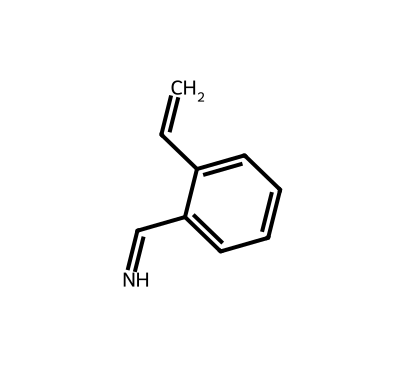 C=Cc1ccccc1C=N